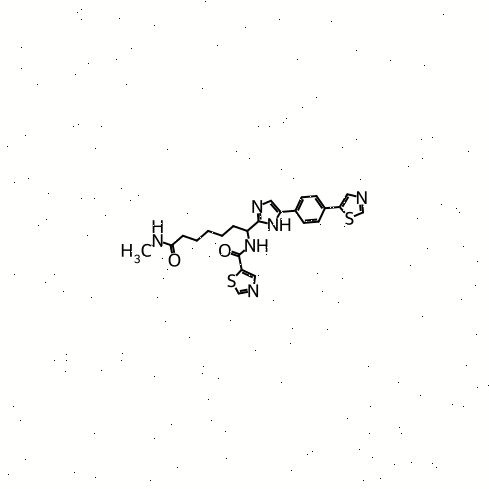 CNC(=O)CCCCCC(NC(=O)c1cncs1)c1ncc(-c2ccc(-c3cncs3)cc2)[nH]1